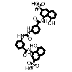 O=C(Nc1cccc(C(=O)Nc2cc(S(=O)(=O)O)cc3cccc(O)c23)c1)Nc1cccc(C(=O)Nc2cc(S(=O)(=O)O)cc3cccc(O)c23)c1